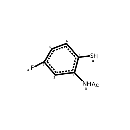 CC(=O)Nc1cc(F)ccc1S